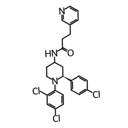 O=C(CCc1cccnc1)NC1CCN(c2ccc(Cl)cc2Cl)[C@H](c2ccc(Cl)cc2)C1